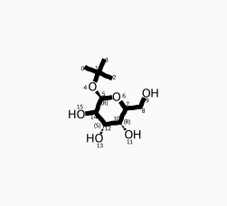 CC(C)(C)O[C@H]1OC(CO)[C@H](O)[C@H](O)C1O